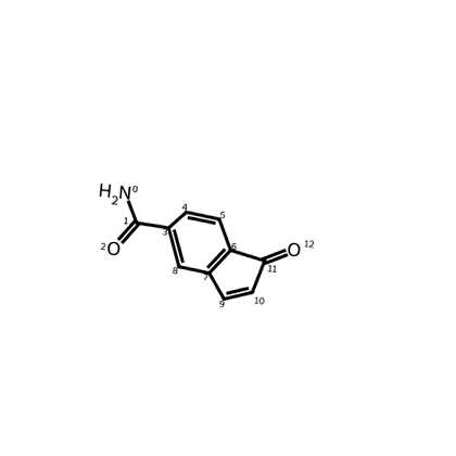 NC(=O)c1ccc2c(c1)C=CC2=O